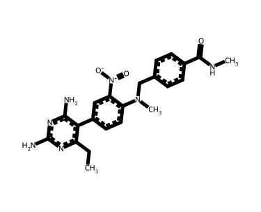 CCc1nc(N)nc(N)c1-c1ccc(N(C)Cc2ccc(C(=O)NC)cc2)c([N+](=O)[O-])c1